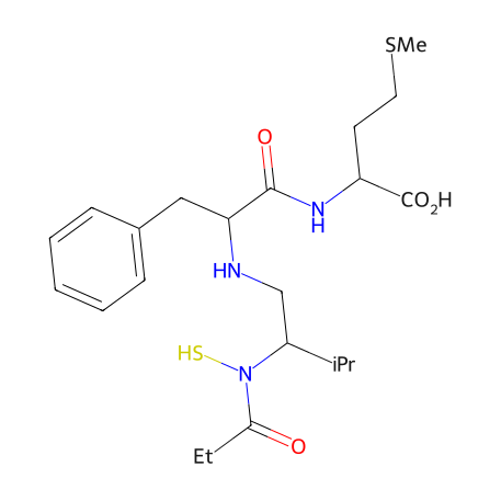 CCC(=O)N(S)C(CNC(Cc1ccccc1)C(=O)NC(CCSC)C(=O)O)C(C)C